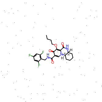 CCCCOc1c2n(cc(C(=O)NCc3c(F)cc(F)cc3F)c1=O)[C@@H]1CCCC[C@H]1NC2=O